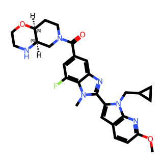 COc1ccc2cc(-c3nc4cc(C(=O)N5CC[C@@H]6OCCN[C@@H]6C5)cc(F)c4n3C)n(CC3CC3)c2n1